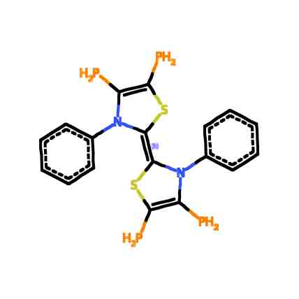 PC1=C(P)N(c2ccccc2)/C(=C2\SC(P)=C(P)N2c2ccccc2)S1